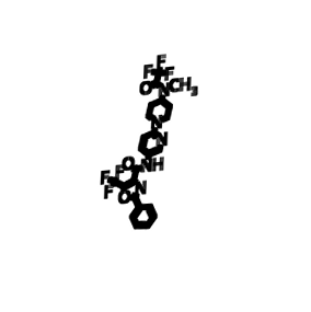 CN(C(=O)C(F)(F)F)C1CCN(c2ccc(NC(=O)c3nc(-c4ccccc4)oc3C(F)(F)F)cn2)CC1